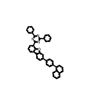 c1ccc(-c2nc(-c3ccccc3)nc(-c3cccc4c3oc3cc(-c5ccc(-c6cccc7ccccc67)cc5)ccc34)n2)cc1